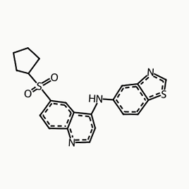 O=S(=O)(c1ccc2nccc(Nc3ccc4scnc4c3)c2c1)C1CCCC1